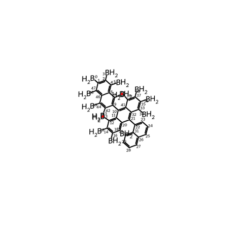 Bc1c(B)c(B)c2c(B)c(-c3c4c(B)c(B)c(B)c(B)c4c(-c4cccc5ccccc45)c4c(B)c(B)c(B)c(B)c34)c(B)c(B)c2c1B